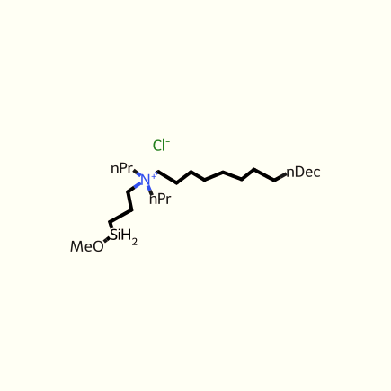 CCCCCCCCCCCCCCCCCC[N+](CCC)(CCC)CCC[SiH2]OC.[Cl-]